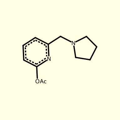 CC(=O)Oc1cccc(CN2CCCC2)n1